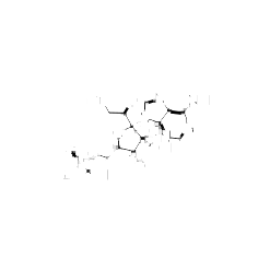 CC(C)CC(=O)[C@@]1(n2cnc3c(N)ncnc32)O[C@H](COP(=O)(O)O)[C@@H](O)C1(O)O